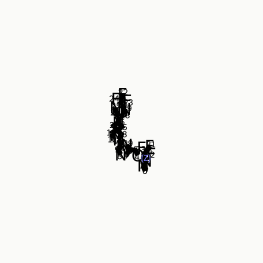 C=N/N=C(\OCc1cncc(N2CCC3(CN(c4cnc(C(F)(F)F)nc4)C3)C2)n1)C(F)(F)F